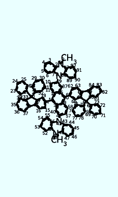 CN1c2ccccc2N(c2ccc3c(-c4ccc5c(c4)C(c4ccccc4)(c4ccccc4)c4ccccc4-5)c4cc(N5c6ccccc6N(C)c6ccccc65)ccc4c(-c4ccc5c(c4)C(c4ccccc4)(c4ccccc4)c4ccccc4-5)c3c2)c2ccccc21